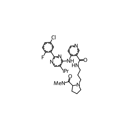 CNC(=O)C1CCCN1CCCNC(=O)c1cnccc1Nc1nc(-c2cc(Cl)ccc2F)ncc1C(C)C